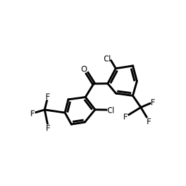 O=C(c1cc(C(F)(F)F)ccc1Cl)c1cc(C(F)(F)F)ccc1Cl